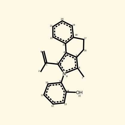 C=C(C)c1c2c(c(C)n1-c1ccccc1O)CCc1ccccc1-2